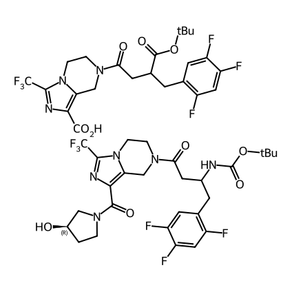 CC(C)(C)OC(=O)C(CC(=O)N1CCn2c(C(F)(F)F)nc(C(=O)O)c2C1)Cc1cc(F)c(F)cc1F.CC(C)(C)OC(=O)NC(CC(=O)N1CCn2c(C(F)(F)F)nc(C(=O)N3CC[C@@H](O)C3)c2C1)Cc1cc(F)c(F)cc1F